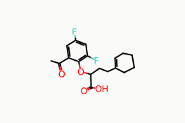 CC(=O)c1cc(F)cc(F)c1OC(CCC1=CCCCC1)C(=O)O